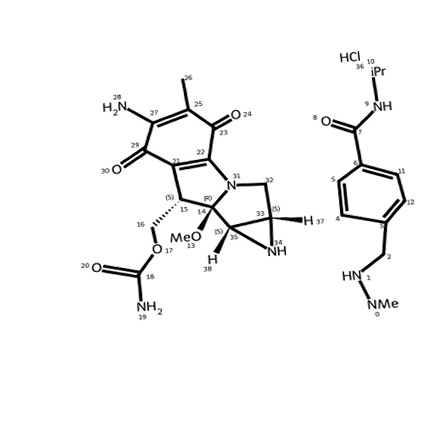 CNNCc1ccc(C(=O)NC(C)C)cc1.CO[C@@]12[C@H](COC(N)=O)C3=C(C(=O)C(C)=C(N)C3=O)N1C[C@@H]1N[C@@H]12.Cl